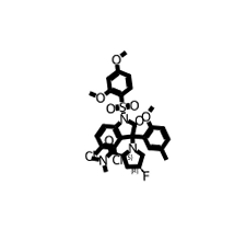 COc1ccc(S(=O)(=O)N2C(=O)C(c3cc(C)ccc3OC)(N3C[C@H](F)C[C@H]3C(=O)N(C)C)c3c2ccc(Cl)c3Cl)c(OC)c1